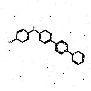 CC1C=CC(NC2=CC=C(c3ccc(C4C=CC=CC4)cc3)CC2)=CC1